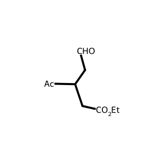 CCOC(=O)CC(CC=O)C(C)=O